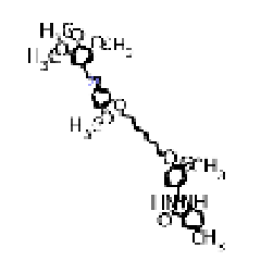 COc1cc(C2NC(=O)c3cc(C)ccc3N2)ccc1OCCCCCCCOc1cc(/C=C/c2cc(OC)c(OC)c(OC)c2)ccc1OC